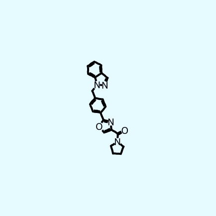 O=C(c1coc(-c2ccc(Cn3ncc4ccccc43)cc2)n1)N1CCCC1